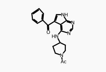 CC(=O)N1CCC(Nc2ncnc3[nH]cc(C(=O)c4ccccc4)c23)CC1